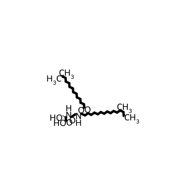 CCCC(C)CCCCCCCCCC(CC(=O)NCC(=O)N[C@@H](CO)C(=O)O)OCCCCCCCCCCCCC(C)C